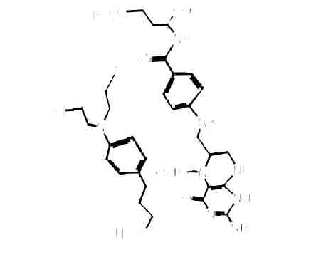 Nc1nc(=O)c2c([nH]1)NCC(CNc1ccc(C(=O)N[C@@H](CCC(=O)O)C(=O)O)cc1)N2C=O.O=C(O)CCCc1ccc(N(CCCl)CCCl)cc1